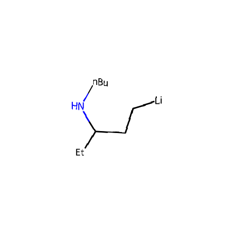 [Li][CH2]CC(CC)NCCCC